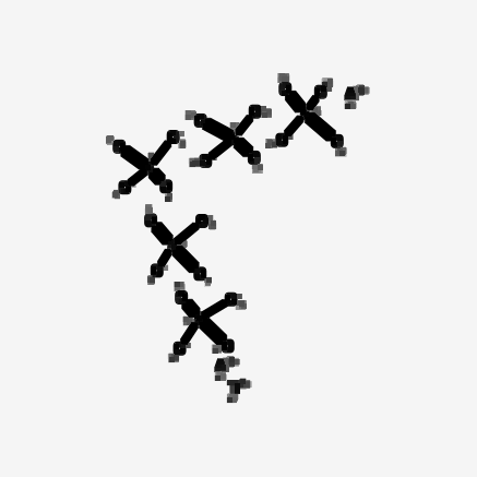 O=S(=O)([O-])[O-].O=S(=O)([O-])[O-].O=S(=O)([O-])[O-].O=S(=O)([O-])[O-].O=S(=O)([O-])[O-].[Al+3].[Al+3].[Ti+4]